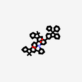 CC1(C)c2ccccc2-c2ccc(-c3ccccc3N(c3ccc(-c4ccc5c(c4)-c4ccccc4C5(c4ccccc4)c4ccccc4)cc3)c3ccccc3-c3cccc4c3-c3ccccc3C4(C)C)cc21